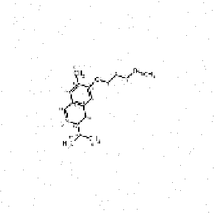 COCCCOc1cc2c(cc1C)C=NC(C(C)C)C2